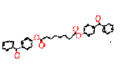 O=C(CCCCCCC(=O)Oc1ccc(C(=O)c2ccccc2)cc1)Oc1ccc(C(=O)c2ccccc2)cc1